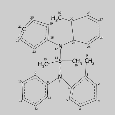 Cc1ccccc1N(c1ccccc1)S(C)(C)N(c1ccccc1)C1C=CC=CC1C